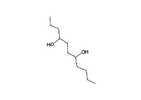 CCCCC(O)CCC(O)CCC